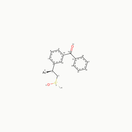 CC(=O)[C@H](C[S@+](C)[O-])c1cccc(C(=O)c2ccccc2)c1